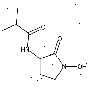 CC(C)C(=O)NC1CCN(O)C1=O